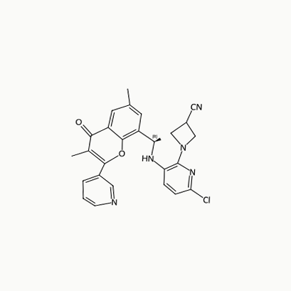 Cc1cc([C@@H](C)Nc2ccc(Cl)nc2N2CC(C#N)C2)c2oc(-c3cccnc3)c(C)c(=O)c2c1